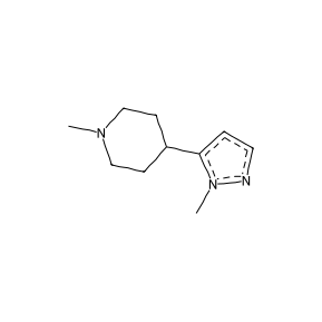 CN1CCC(c2ccnn2C)CC1